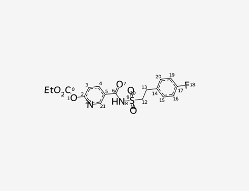 CCOC(=O)Oc1ccc(C(=O)NS(=O)(=O)CCc2ccc(F)cc2)cn1